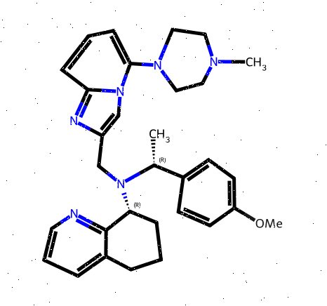 COc1ccc([C@@H](C)N(Cc2cn3c(N4CCN(C)CC4)cccc3n2)[C@@H]2CCCc3cccnc32)cc1